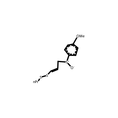 CCCSSC=CC[S+]([O-])c1ccc(OC)cc1